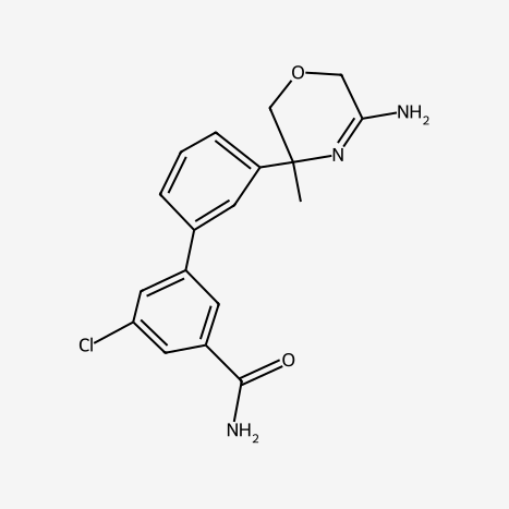 CC1(c2cccc(-c3cc(Cl)cc(C(N)=O)c3)c2)COCC(N)=N1